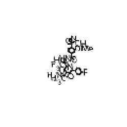 COc1cc(C(=O)NC[C@](O)(c2cc3c(c(-c4ccc(F)cc4)n2)OC[C@]3(C)C(N)=O)C(F)(F)F)ccc1-c1ocnc1C